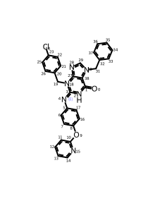 O=c1[nH]/c(=N\c2ccc(Oc3ccccn3)cc2)n(Cc2ccc(Cl)cc2)c2ncn(Cc3ccccc3)c12